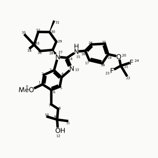 COc1cc2c(cc1CCC(C)(C)O)nc(Nc1ccc(OC(C)(F)F)cc1)n2[C@@H]1C[C@H](C)CC(C)(C)C1